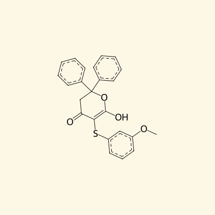 COc1cccc(SC2=C(O)OC(c3ccccc3)(c3ccccc3)CC2=O)c1